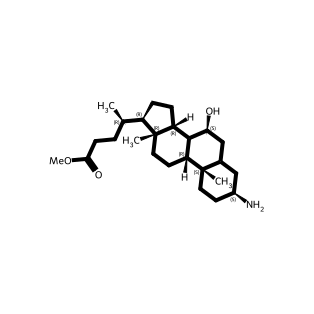 COC(=O)CC[C@@H](C)[C@H]1CC[C@@H]2C3[C@@H](CC[C@@]21C)[C@@]1(C)CC[C@H](N)CC1C[C@@H]3O